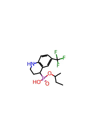 CCC(C)OP(=O)(O)C1CCNc2ccc(C(F)(F)F)cc21